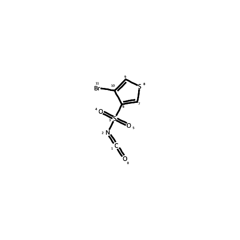 O=C=NS(=O)(=O)c1cscc1Br